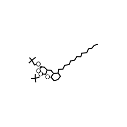 CCCCCCCCCCCCCCC1CCCCC1CC(CC(=O)OCC(C)(C)C)C(=O)OCC(C)(C)C